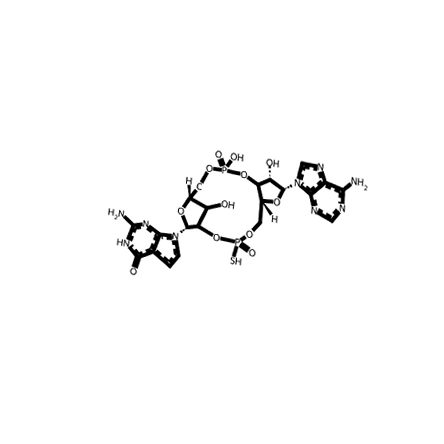 Nc1nc2c(ccn2[C@@H]2O[C@@H]3COP(=O)(O)OC4[C@@H](COP(=O)(S)OC2C3O)O[C@@H](n2cnc3c(N)ncnc32)[C@H]4O)c(=O)[nH]1